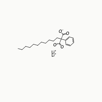 CCCCCCCCCCCC(C(=O)[O-])(C(=O)[O-])c1ccccc1.[Li+].[Li+]